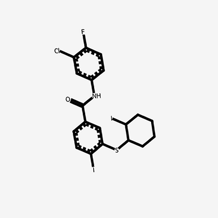 O=C(Nc1ccc(F)c(Cl)c1)c1ccc(I)c(SC2CCCCC2I)c1